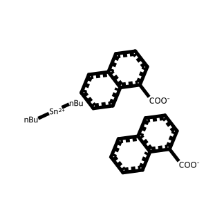 CCC[CH2][Sn+2][CH2]CCC.O=C([O-])c1cccc2ccccc12.O=C([O-])c1cccc2ccccc12